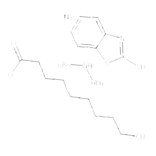 CCCCCCCCCC(=O)[O-].CCCCNCCCC.Sc1nc2ccccc2s1.[Na+]